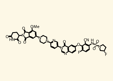 COc1cc(N2CCN(c3ccc(-n4cnc5ccc(Oc6c(F)ccc(NS(=O)(=O)N7CC[C@@H](F)C7)c6C#N)cc5c4=O)cn3)CC2)cc2c1C(=O)N(C1CCC(=O)NC1=O)C2=O